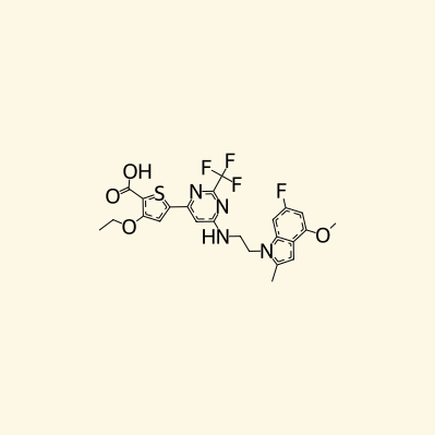 CCOc1cc(-c2cc(NCCn3c(C)cc4c(OC)cc(F)cc43)nc(C(F)(F)F)n2)sc1C(=O)O